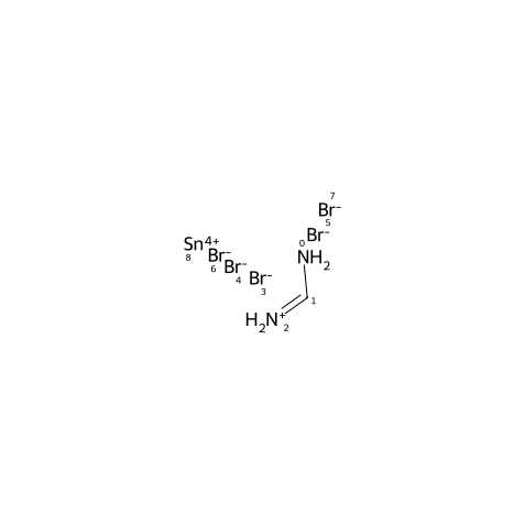 NC=[NH2+].[Br-].[Br-].[Br-].[Br-].[Br-].[Sn+4]